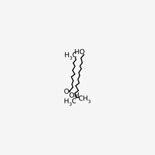 CC(C)CCCCCCCCCCCCO.CCCCCCCCCCC(=O)O